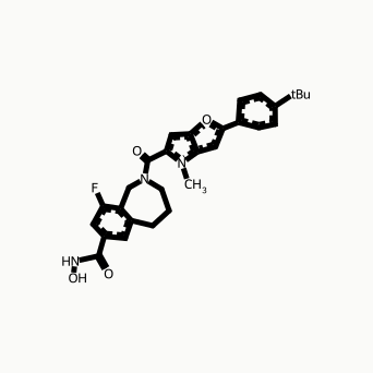 Cn1c(C(=O)N2CCCc3cc(C(=O)NO)cc(F)c3C2)cc2oc(-c3ccc(C(C)(C)C)cc3)cc21